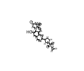 O=C1CN(c2c(O)cc3cnc(C4CCN(S(=O)(=O)C5CC5)C4)nc3c2F)S(=O)(=O)N1